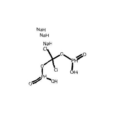 O=[PH](O)OC(Cl)(Cl)O[PH](=O)O.[NaH].[NaH].[NaH]